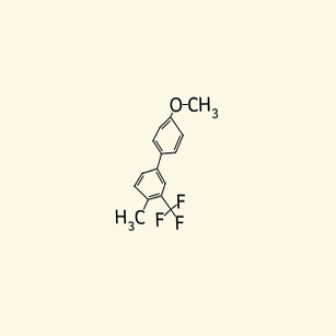 COc1ccc(-c2ccc(C)c(C(F)(F)F)c2)cc1